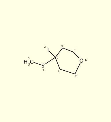 CSC1(I)CCOCC1